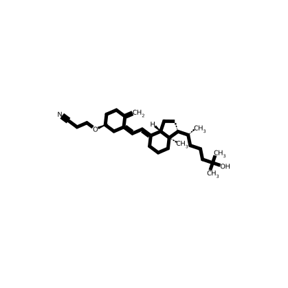 C=C1CC[C@H](OCCC#N)C/C1=C/C=C1\CCC[C@]2(C)[C@@H]([C@H](C)CCCC(C)(C)O)CC[C@@H]12